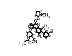 C=CC(=O)N1CC[C@H](n2nnc3c(OC[C@@H]4CCCN4C)nc4c(F)c(-c5cccc(Cl)c5C)c(Cl)cc4c32)C[C@H]1CC#N